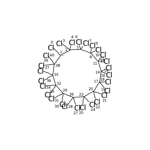 Cl[C]1C(Cl)(Cl)C(Cl)(Cl)C(Cl)(Cl)C(Cl)(Cl)C(Cl)(Cl)C(Cl)(Cl)C(Cl)(Cl)C(Cl)(Cl)C(Cl)(Cl)C(Cl)(Cl)C(Cl)(Cl)C(Cl)(Cl)C1(Cl)Cl